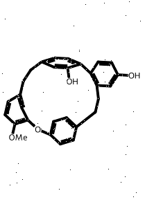 COc1ccc2cc1Oc1ccc(cc1)CCc1cc(O)ccc1-c1ccc(cc1O)CC2